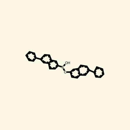 OB(Oc1ccc2cc(-c3ccccc3)ccc2c1)c1ccc2cc(-c3ccccc3)ccc2c1